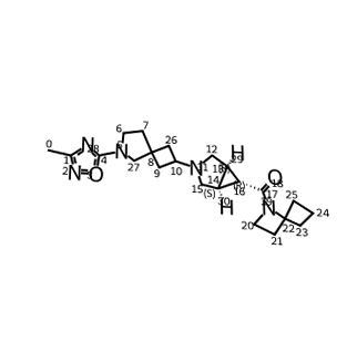 Cc1noc(N2CCC3(CC(N4C[C@@H]5[C@H](C4)[C@H]5C(=O)N4CCC45CCC5)C3)C2)n1